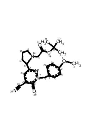 COc1ccc(Cn2nc(C3CCCN3CC(=O)OC(C)(C)C)cc(C#N)c2=O)cc1